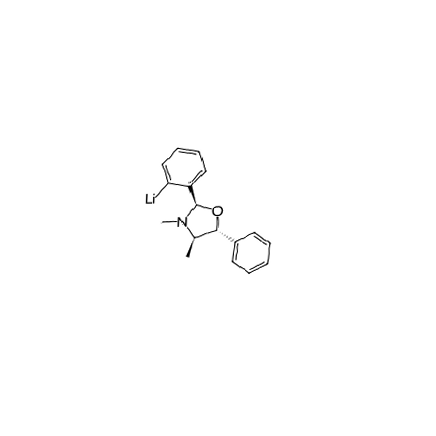 [Li][c]1ccccc1[C@H]1O[C@H](c2ccccc2)[C@@H](C)N1C